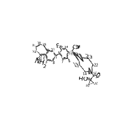 NC1=c2ccc(-c3ccc(C(=O)N4CCN(C(=O)C5(O)CC5)CC4)cc3F)cc2=CC=CC1